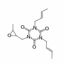 C/C=C/Cn1c(=O)n(C/C=C/C)c(=O)n(CC2OC2C)c1=O